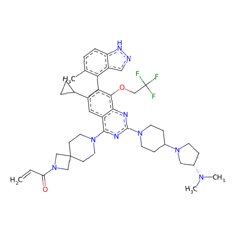 C=CC(=O)N1CC2(CCN(c3nc(N4CCC(N5CC[C@H](N(C)C)C5)CC4)nc4c(OCC(F)(F)F)c(-c5c(C)ccc6[nH]ncc56)c(C5CC5)cc34)CC2)C1